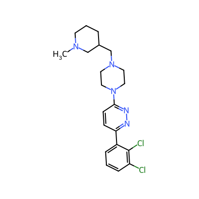 CN1CCCC(CN2CCN(c3ccc(-c4cccc(Cl)c4Cl)nn3)CC2)C1